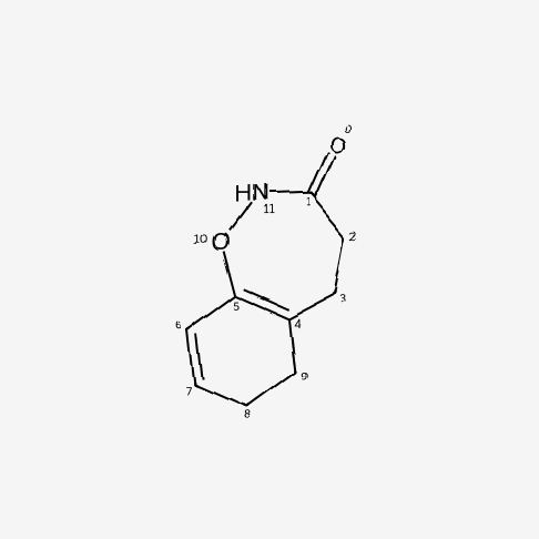 O=C1CCC2=C(C=CCC2)ON1